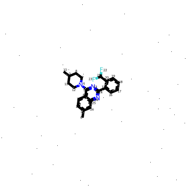 Cc1ccc2c(N3CCC(C)CC3)nc(-c3ccccc3C(F)F)nc2c1